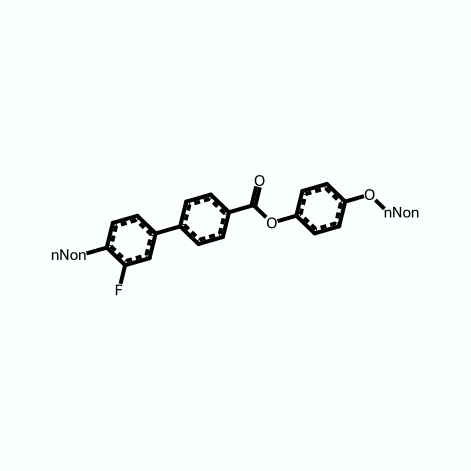 CCCCCCCCCOc1ccc(OC(=O)c2ccc(-c3ccc(CCCCCCCCC)c(F)c3)cc2)cc1